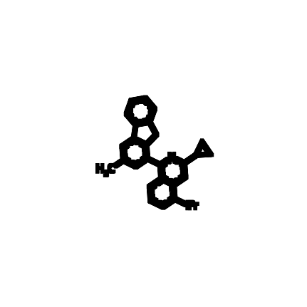 Cc1cc2c(c(-c3nc(C4CC4)cc4c(C(C)C)cccc34)c1)Cc1ccccc1-2